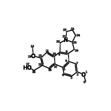 COc1ccc2c(c1)c1c(c3cc(OC)c(CO)cc32)CN2CCCC2C1